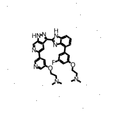 CN(C)CCOc1cncc(-c2cc3c(-c4nc5c(-c6cc(F)cc(OCCN(C)C)c6)cccc5[nH]4)n[nH]c3cn2)c1